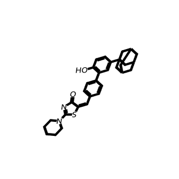 O=C1N=C(N2CCCCC2)SC1=Cc1ccc(-c2cc(C34CC5CC(CC(C5)C3)C4)ccc2O)cc1